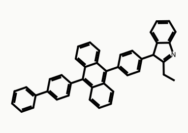 CCC1=Nc2ccccc2C1c1ccc(-c2c3ccccc3c(-c3ccc(-c4ccccc4)cc3)c3ccccc23)cc1